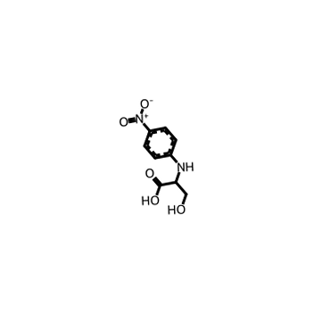 O=C(O)C(CO)Nc1ccc([N+](=O)[O-])cc1